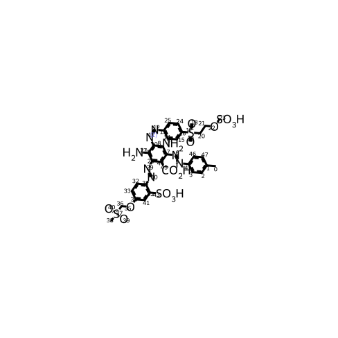 Cc1ccc(N=Nc2c(N)c(/N=N\c3ccc(S(=O)(=O)CCOS(=O)(=O)O)cc3)c(N)c(N=Nc3ccc(OCS(C)(=O)=O)cc3S(=O)(=O)O)c2C(=O)O)cc1